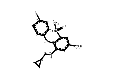 NS(=O)(=O)c1cc(C(=O)O)cc(NCC2CC2)c1Oc1ccc(Cl)cc1